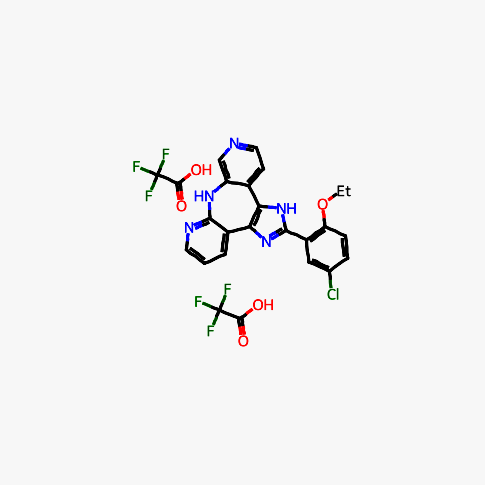 CCOc1ccc(Cl)cc1-c1nc2c([nH]1)-c1ccncc1Nc1ncccc1-2.O=C(O)C(F)(F)F.O=C(O)C(F)(F)F